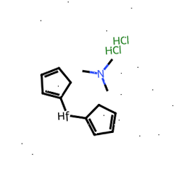 C1=CC[C]([Hf][C]2=CC=CC2)=C1.CN(C)C.Cl.Cl